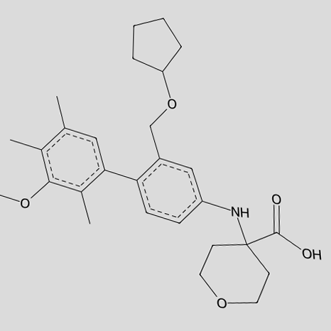 COc1c(C)c(C)cc(-c2ccc(NC3(C(=O)O)CCOCC3)cc2COC2CCCC2)c1C